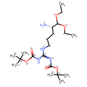 CCOC(OCC)[C@@H](N)CCCNC(=NC(=O)OC(C)(C)C)NC(=O)OC(C)(C)C